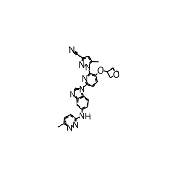 Cc1ccc(Nc2ccc3c(c2)ncn3-c2ccc(OC3COC3)c(-n3nc(C#N)cc3C)n2)nn1